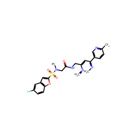 C=N/C(=C\C(=N/C)c1ccc(C(F)(F)F)nc1)CNC(=O)CN(C(C)C)S(=O)(=O)c1cc2cc(F)ccc2o1